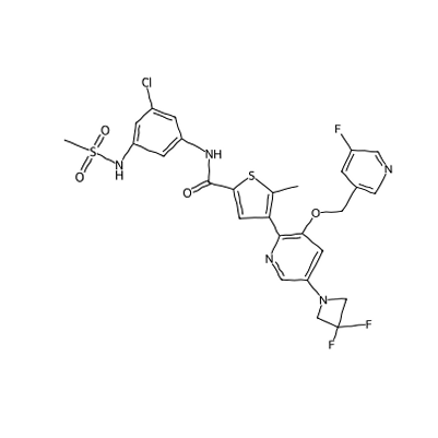 Cc1sc(C(=O)Nc2cc(Cl)cc(NS(C)(=O)=O)c2)cc1-c1ncc(N2CC(F)(F)C2)cc1OCc1cncc(F)c1